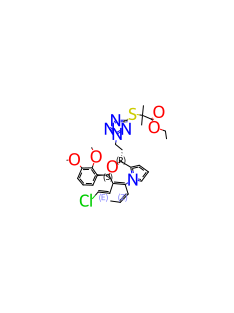 C/C=C\C1=C(/C=C/Cl)[C@@H](c2cccc(OC)c2OC)O[C@H](CCn2nnc(SC(C)(C)C(=O)OCC)n2)c2cccn21